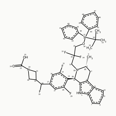 C[C@@H]1Cc2c([nH]c3ccccc23)[C@@H](c2c(F)cc(C(F)C3CN(C(=O)O)C3)cc2F)N1CC(F)(F)CO[Si](c1ccccc1)(c1ccccc1)C(C)(C)C